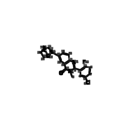 Cn1c(-c2cc(Cl)ccc2F)nc2ccc(N3CCN4CCC3CC4)cc2c1=O